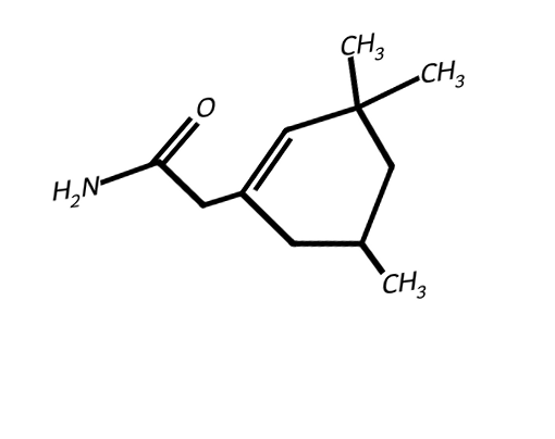 CC1CC(CC(N)=O)=CC(C)(C)C1